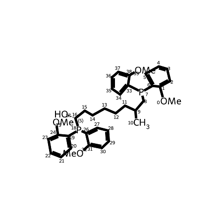 COc1ccccc1P(CC(C)CCCCC[C@@H](O)P(c1ccccc1OC)c1ccccc1OC)c1ccccc1OC